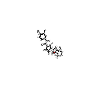 Cc1cc(NC(=O)c2c(C)c(C(=O)C(=O)N3[C@@H]4CC[C@H]3CC(O)C4)n(C)c2C)ccc1F